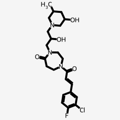 CC1CC(O)CN(CC(O)CN2CCN(C(=O)C=Cc3ccc(F)c(Cl)c3)CCC2=O)C1